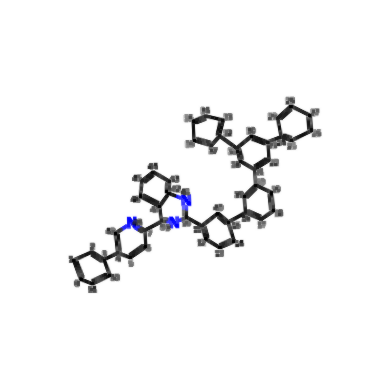 c1ccc(-c2ccc(-c3nc(-c4cccc(-c5cccc(-c6cc(-c7ccccc7)cc(-c7ccccc7)c6)c5)c4)nc4ccccc34)nc2)cc1